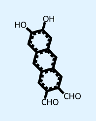 O=Cc1cc2cc3cc(O)c(O)cc3cc2cc1C=O